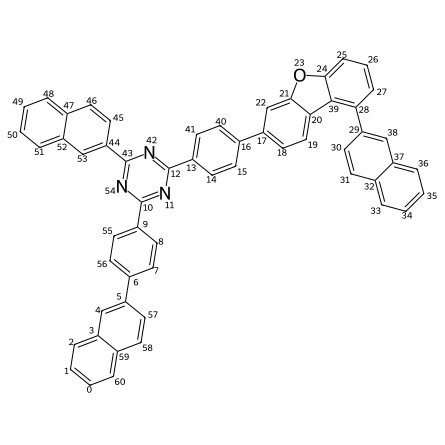 c1ccc2cc(-c3ccc(-c4nc(-c5ccc(-c6ccc7c(c6)oc6cccc(-c8ccc9ccccc9c8)c67)cc5)nc(-c5ccc6ccccc6c5)n4)cc3)ccc2c1